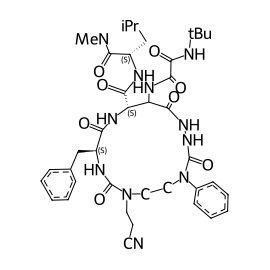 CNC(=O)[C@H](CC(C)C)NC(=O)[C@H]1NC(=O)[C@H](Cc2ccccc2)NC(=O)N(CCC#N)CCN(c2ccccc2)C(=O)NNC(=O)C1NC(=O)C(=O)NC(C)(C)C